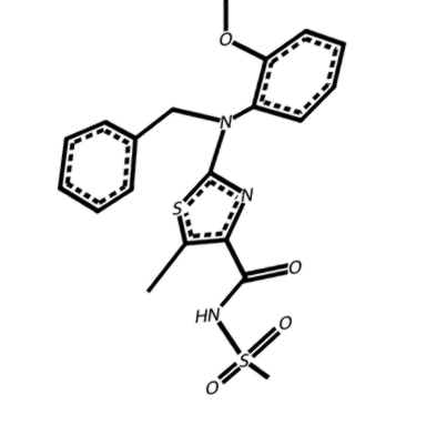 COc1ccccc1N(Cc1ccccc1)c1nc(C(=O)NS(C)(=O)=O)c(C)s1